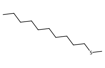 CCCCCCCCCCSC